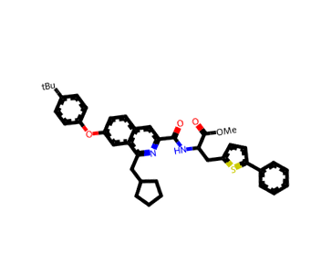 COC(=O)C(Cc1ccc(-c2ccccc2)s1)NC(=O)c1cc2ccc(Oc3ccc(C(C)(C)C)cc3)cc2c(CC2CCCC2)n1